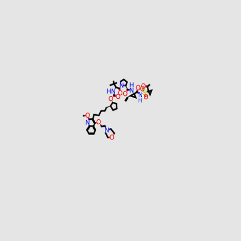 C=C[C@@H]1C[C@]1(NC(=O)[C@@H]1CCCN1C(=O)[C@@H](NC(=O)O[C@@H]1CCC[C@H]1CCCCCc1c(OC)nc2ccccc2c1OCCN1CCOCC1)C(C)(C)C)C(=O)NS(=O)(=O)C1(C(C)=O)CC1